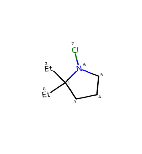 CCC1(CC)CCCN1Cl